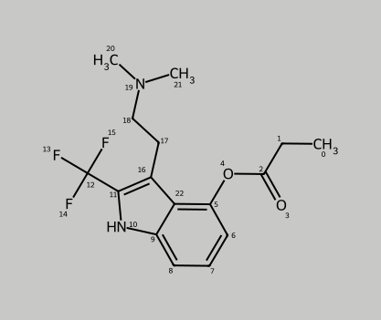 CCC(=O)Oc1cccc2[nH]c(C(F)(F)F)c(CCN(C)C)c12